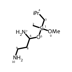 CO[Si](C)(CC(C)C)OC(N)CCN